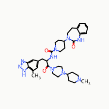 Cc1cc(CC(NC(=O)N2CCC(N3CCc4ccccc4NC3=O)CC2)C(=O)N2CCN(C3CCN(C)CC3)CC2)cc2nn[nH]c12